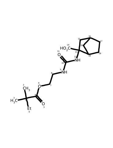 CCC(C)(C)C(=O)OCCNC(=O)NC1(C(=O)O)CC2CCC1C2